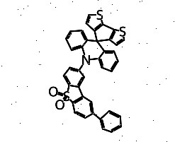 O=S1(=O)c2ccc(-c3ccccc3)cc2-c2cc(N3c4ccccc4C4(c5ccccc53)c3ccsc3-c3sccc34)ccc21